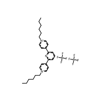 CCCCCC[n+]1ccc(-c2cccc(-c3cc[n+](CCCCCC)cc3)n2)cc1.F[B-](F)(F)F.F[B-](F)(F)F